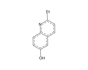 CCc1ccc2cc(O)ccc2n1